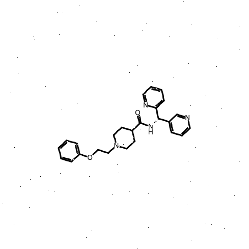 O=C(N[C@@H](c1cccnc1)c1ccccn1)C1CCN(CCOc2ccccc2)CC1